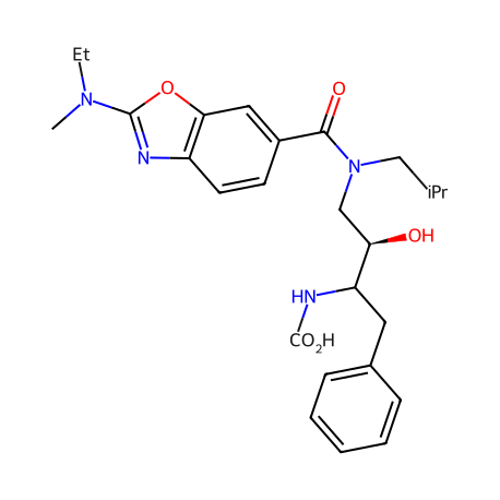 CCN(C)c1nc2ccc(C(=O)N(CC(C)C)C[C@@H](O)C(Cc3ccccc3)NC(=O)O)cc2o1